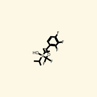 CC(C)[Si](O)(C(C)C)C(F)(F)OC(=O)c1ccc(F)c(F)c1F